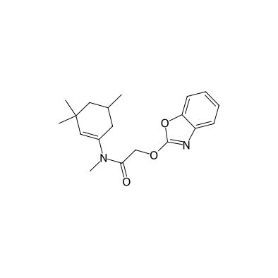 CC1CC(N(C)C(=O)COc2nc3ccccc3o2)=CC(C)(C)C1